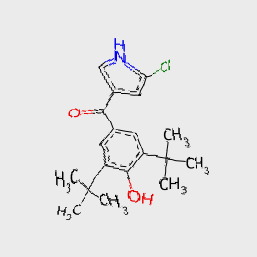 CC(C)(C)c1cc(C(=O)c2c[nH]c(Cl)c2)cc(C(C)(C)C)c1O